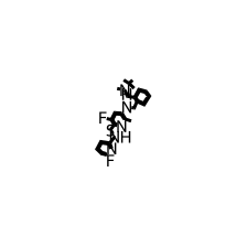 Cc1nc(SNc2cccc(F)n2)c(F)cc1NCc1ccccc1CN(C)C(C)(C)C